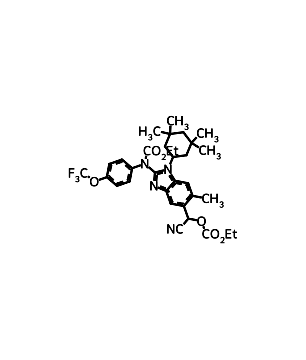 CCOC(=O)OC(C#N)c1cc2nc(N(C(=O)OCC)c3ccc(OC(F)(F)F)cc3)n(C3CC(C)(C)CC(C)(C)C3)c2cc1C